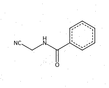 N#CCNC(=O)c1ccccc1